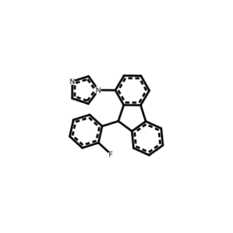 Fc1ccccc1C1c2ccccc2-c2cccc(-n3ccnc3)c21